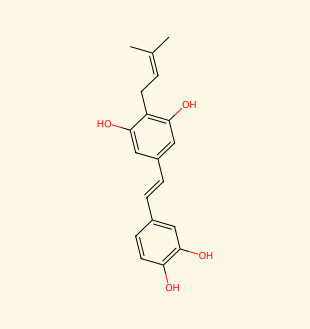 CC(C)=CCc1c(O)cc(/C=C/c2ccc(O)c(O)c2)cc1O